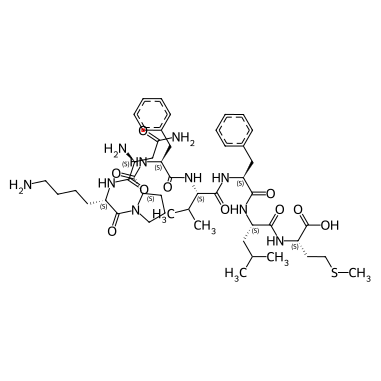 CSCC[C@H](NC(=O)[C@H](CC(C)C)NC(=O)[C@H](Cc1ccccc1)NC(=O)[C@@H](NC(=O)[C@H](Cc1ccccc1)NC(=O)[C@@H]1CCCN1C(=O)[C@H](CCCCN)NC(=O)[C@@H](N)CC(N)=O)C(C)C)C(=O)O